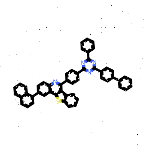 c1ccc(-c2ccc(-c3nc(-c4ccccc4)nc(-c4ccc(-c5nc6ccc(-c7cccc8ccccc78)cc6c6sc7ccccc7c56)cc4)n3)cc2)cc1